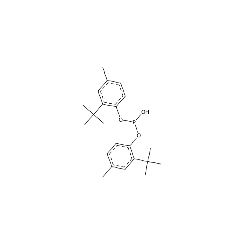 Cc1ccc(OP(O)Oc2ccc(C)cc2C(C)(C)C)c(C(C)(C)C)c1